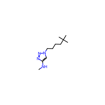 CNc1cn(CCCCC(C)(C)C)nn1